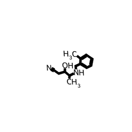 Cc1ccccc1CNC(C)C(O)CC#N